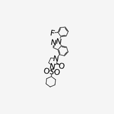 O=C1N(c2cccc3c2cnn3-c2ccccc2F)CCN1S(=O)(=O)C1CCCCC1